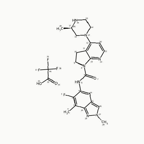 Cc1c(F)c(NC(=O)N2CCc3c(N4CCN[C@H](C)C4)ccnc32)cc2cn(C)nc12.O=C(O)C(F)(F)F